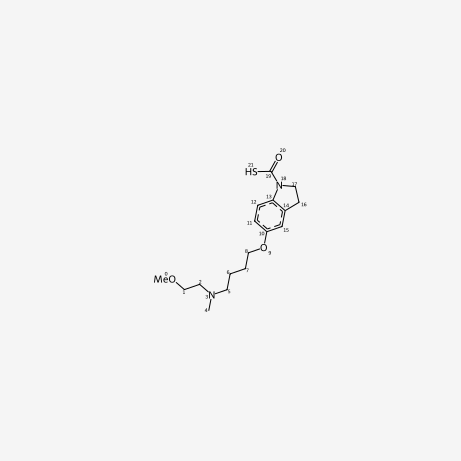 COCCN(C)CCCCOc1ccc2c(c1)CCN2C(=O)S